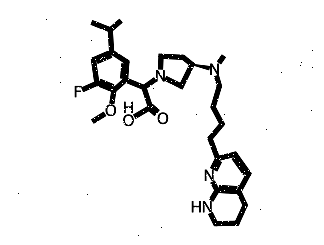 COc1c(F)cc(C(C)C)cc1C(C(=O)O)N1CC[C@@H](N(C)CCCCc2ccc3c(n2)NCCC3)C1